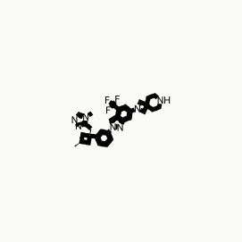 Cn1cnnc1C[C@]1(c2cccc(-n3cc4c(C(F)(F)F)cc(N5CC6(CCNCC6)C5)cc4n3)c2)C[C@H](C)C1